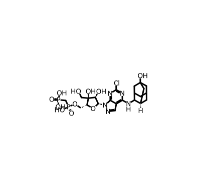 O=P(O)(O)CP(=O)(O)OC[C@H]1O[C@@H](n2ncc3c(NC4C5CC6C[C@@H]4CC(O)(C6)C5)nc(Cl)nc32)[C@H](O)[C@@]1(O)CO